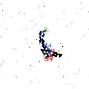 C=C(/C=C(F)\C=C(/CCO)N1CCOc2cc(C3(F)CC3)cc(F)c2C1=O)c1ccnc2[nH]c(-c3ccc(CN4CCN(CC(F)(F)F)CC4)cn3)cc12